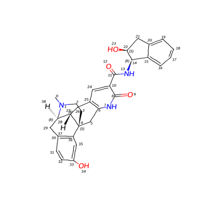 CN1CC[C@]23Cc4[nH]c(=O)c(C(=O)N[C@@H]5c6ccccc6C[C@@H]5O)cc4C[C@H]2[C@H]1Cc1ccc(O)cc13